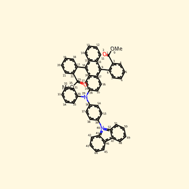 COC(=O)c1ccccc1-c1c2ccccc2c(-c2ccccc2C(=O)OC)c2cc(N(c3ccccc3)c3ccc(-n4c5ccccc5c5ccccc54)cc3)ccc12